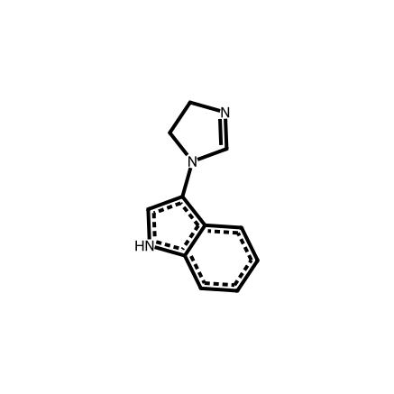 C1=NCCN1c1c[nH]c2ccccc12